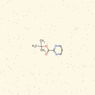 CC(C)(C)OC(=O)c1ncccn1